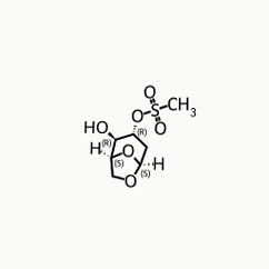 CS(=O)(=O)O[C@@H]1C[C@H]2OC[C@H](O2)[C@H]1O